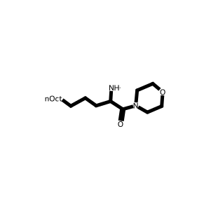 CCCCCCCCCCCC([NH])C(=O)N1CCOCC1